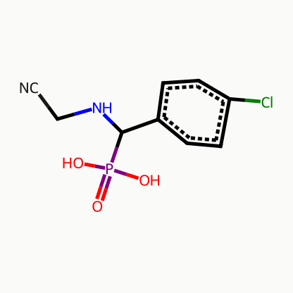 N#CCNC(c1ccc(Cl)cc1)P(=O)(O)O